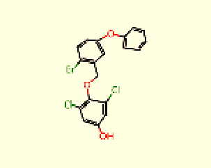 Oc1cc(Cl)c(OCc2cc(Oc3ccccc3)ccc2Br)c(Cl)c1